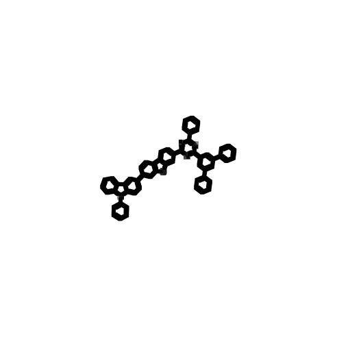 c1ccc(-c2cc(-c3ccccc3)cc(-c3nc(-c4ccccc4)nc(-c4ccc5c(c4)oc4cc(-c6ccc7c(c6)c6ccccc6n7-c6ccccc6)ccc45)n3)c2)cc1